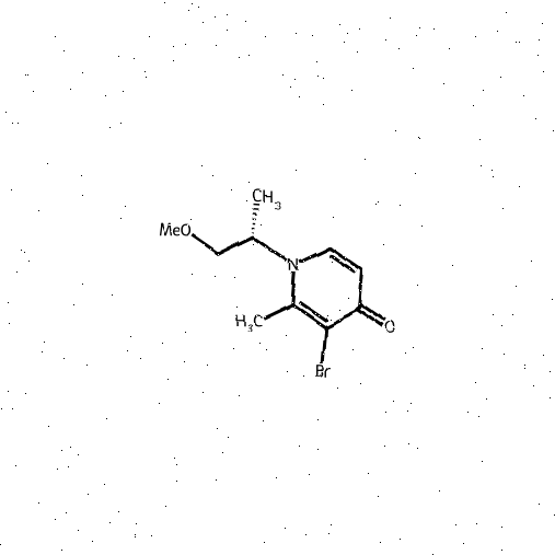 COC[C@H](C)n1ccc(=O)c(Br)c1C